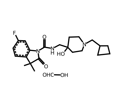 CC1(C)C(=O)N(C(=O)NCC2(O)CCN(CC3CCC3)CC2)c2cc(F)ccc21.O=CO